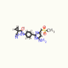 CS(=O)(=O)Cc1cc(N)nc(-c2ccc(NC(=O)C3(C#N)CC3)cc2)n1